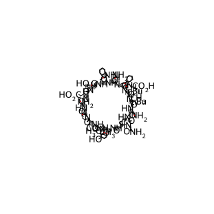 CCCC[C@H]1C(=O)N(C)[C@@H](CCCC)C(=O)N[C@@H](CN)C(=O)N[C@H](C(=O)NCC(N)=O)CSCC(=O)N[C@@H](Cc2ccc(O)cc2)C(=O)N(C)[C@@H](C)C(=O)N[C@@H](CC(=O)O)C(=O)N2CCC[C@H]2C(=O)N[C@@H](CN)C(=O)N[C@@H](CCC(=O)O)C(=O)N2C[C@H](O)C[C@H]2C(=O)N[C@@H](Cc2c[nH]c3ccccc23)C(=O)N[C@@H](CCN)C(=O)N[C@@H](Cc2cn(CC(=O)O)c3ccccc23)C(=O)N1C